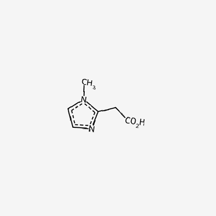 Cn1ccnc1CC(=O)O